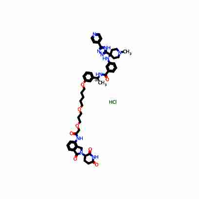 C[C@H](NC(=O)c1cccc(NC2(c3nnc(-c4ccncc4)[nH]3)CCN(C)CC2)c1)c1cccc(OCCCCCOCCCOCC(=O)Nc2cccc3c2CN(C2CCC(=O)NC2=O)C3=O)c1.Cl